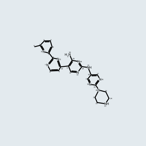 Cc1cccc(-c2nccc(-c3cnc(Nc4cnc(N5CCNCC5)nc4)nc3N)n2)n1